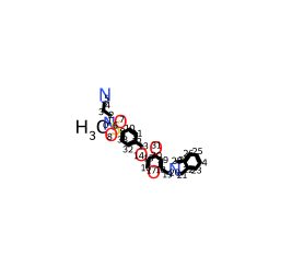 CN(CCC#N)S(=O)(=O)c1ccc(COc2coc(CN3Cc4ccccc4C3)cc2=O)cc1